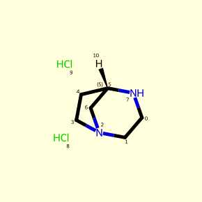 C1CN2CC[C@@H](C2)N1.Cl.Cl